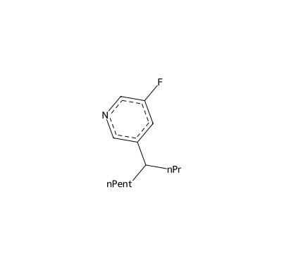 CCCCCC(CCC)c1cncc(F)c1